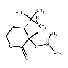 CC[C@@]1(O[SiH](C)C)C(=O)OCC[C@@H]1C(C)(C)C